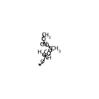 C=C1C=c2ccc(C(=O)NCCOCC3CC3)c(C)c2=CN1CC1CCN(C(=O)c2ccc(C)cc2)CC1